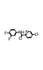 O=C(Nc1ccc(F)c(F)c1)c1ccc(Cl)cn1